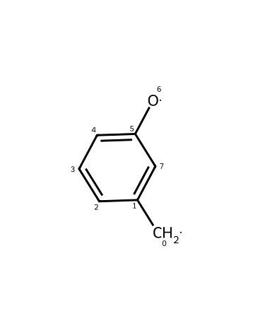 [CH2]c1cccc([O])c1